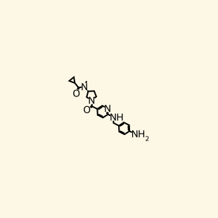 CN(C(=O)C1CC1)[C@H]1CCN(C(=O)c2ccc(NCc3ccc(N)cc3)nc2)C1